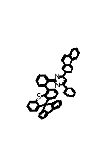 c1ccc(-c2cc(-c3ccc4c(ccc5ccccc54)c3)nc(-c3ccccc3-c3cccc4c3Sc3ccccc3C43c4ccccc4-c4ccccc43)n2)cc1